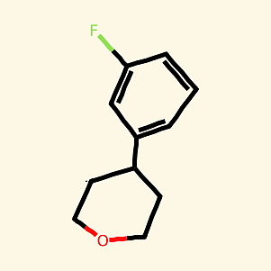 Fc1cccc(C2[CH]COCC2)c1